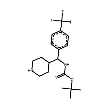 CC(C)(C)OC(=O)NC(c1ccc(C(F)(F)F)cc1)C1CCNCC1